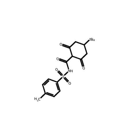 Cc1ccc(S(=O)(=O)NC(=O)C2C(=O)CC(C(C)(C)C)CC2=O)cc1